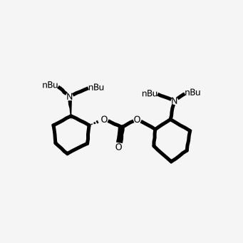 CCCCN(CCCC)C1CCCCC1OC(=O)O[C@@H]1CCCC[C@H]1N(CCCC)CCCC